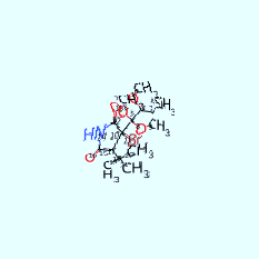 COC(C[SiH3])C(OC)(OC)C1(Br)C(=O)NC(=O)C1C(C)(C)C